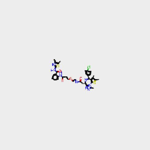 Cc1nc(NC(=O)c2ccccc2NC(=O)CCOCCNC(=O)C[C@@H]2N=C(c3ccc(Cl)cc3)c3c(sc(C)c3C)-n3c(C)nnc32)sc1C